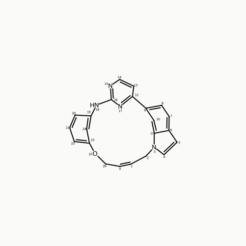 C1=C\Cn2ccc3ccc(cc32)-c2ccnc(n2)Nc2cccc(c2)OC/1